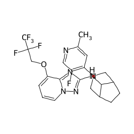 Cc1cc(N2CC3CCC(C2)C3Nc2nc3c(OCC(F)(F)C(F)(F)F)cccn3n2)c(F)cn1